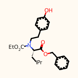 CCOC(=O)N(CCc1ccc(O)cc1)[C@@H](CC(C)C)C(=O)OCc1ccccc1